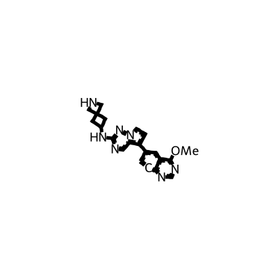 COc1ncnc2ccc(-c3ccn4nc(NC5CC6(CNC6)C5)ncc34)cc12